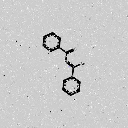 CC(=O)/C(=N\C(=O)c1ccccc1)c1ccccc1